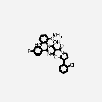 C=C1N=C(c2c#cc(F)cc2)N(c2c(O)cccc2OC)C(O)=C1C(=O)N1CCC(c2ccccc2Cl)C1